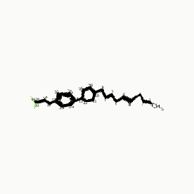 CCCCCCCCCCC1CCC(c2ccc(CC=C(F)F)cc2)CC1